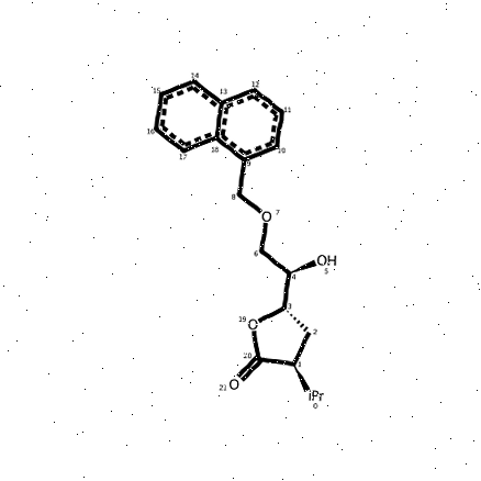 CC(C)[C@@H]1C[C@@H]([C@H](O)COCc2cccc3ccccc23)OC1=O